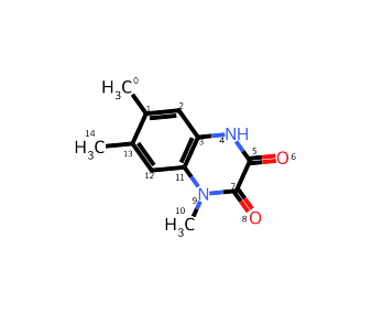 Cc1cc2[nH]c(=O)c(=O)n(C)c2cc1C